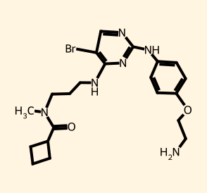 CN(CCCNc1nc(Nc2ccc(OCCN)cc2)ncc1Br)C(=O)C1CCC1